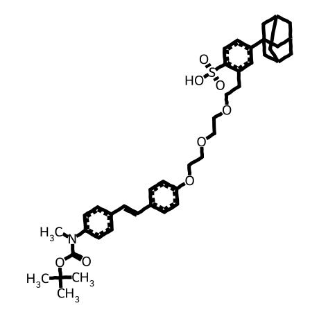 CN(C(=O)OC(C)(C)C)c1ccc(C=Cc2ccc(OCCOCCOCCc3cc(C45CC6CC(CC(C6)C4)C5)ccc3S(=O)(=O)O)cc2)cc1